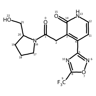 O=C(Cc1c(-c2noc(C(F)(F)F)n2)cc[nH]c1=O)N1CCCC1CO